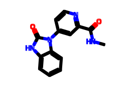 CNC(=O)c1cc(-n2c(=O)[nH]c3ccccc32)ccn1